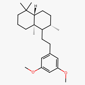 COc1cc(CCC2[C@@H](C)CC[C@H]3C(C)(C)CCC[C@]23C)cc(OC)c1